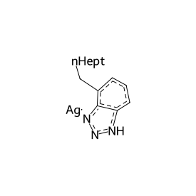 CCCCCCCCc1cccc2[nH]nnc12.[Ag]